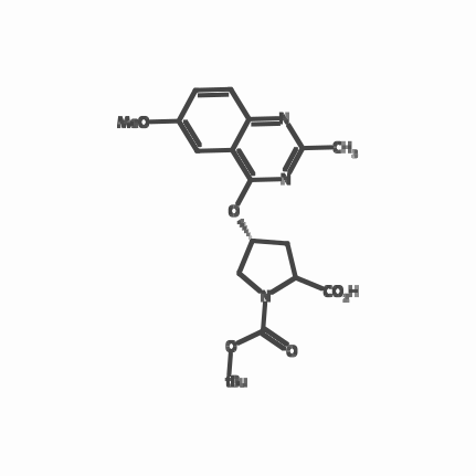 COc1ccc2nc(C)nc(O[C@@H]3CC(C(=O)O)N(C(=O)OC(C)(C)C)C3)c2c1